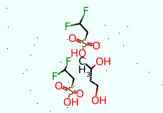 CC(O)CCO.O=S(=O)(O)CC(F)F.O=S(=O)(O)CC(F)F